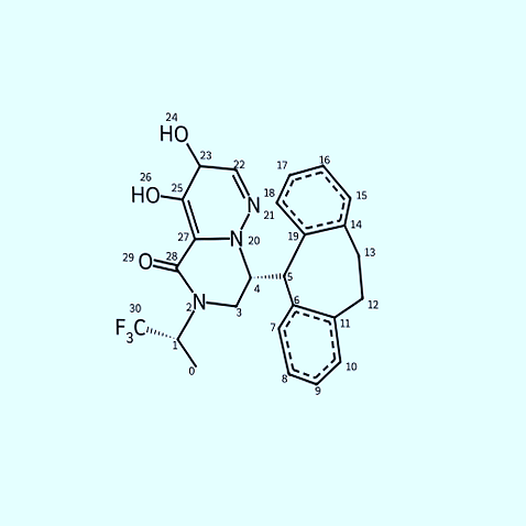 C[C@@H](N1C[C@@H](C2c3ccccc3CCc3ccccc32)N2N=CC(O)C(O)=C2C1=O)C(F)(F)F